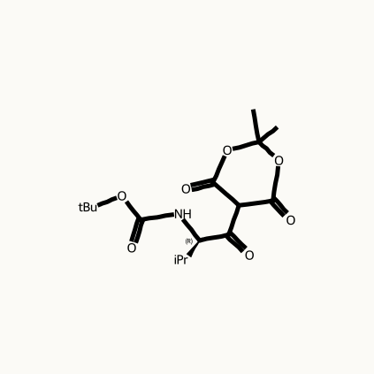 CC(C)[C@@H](NC(=O)OC(C)(C)C)C(=O)C1C(=O)OC(C)(C)OC1=O